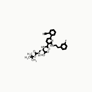 CC(C)(C)OC(=O)NC[C@H](NC(=O)c1ccc(-c2ccccc2C#N)nc1NCCc1cccc(F)c1)C(=O)O